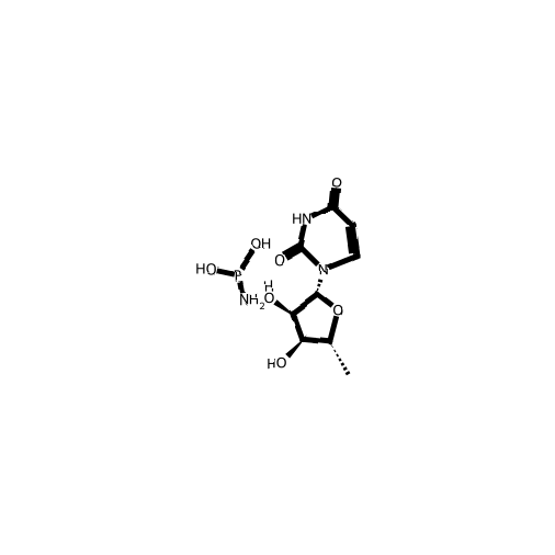 C[C@H]1O[C@@H](n2ccc(=O)[nH]c2=O)[C@H](O)[C@@H]1O.NP(O)O